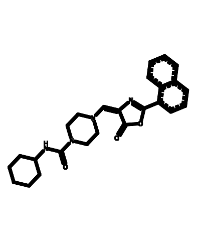 O=C1OC(c2cccc3ccccc23)=N/C1=C/N1CCN(C(=O)NC2CCCCC2)CC1